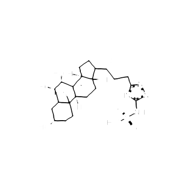 CC[C@@H]1C2C[C@H](O)CCC2(C)[C@H]2CCC3(C)C([C@H](C)CCc4nnc(NS(C)(=O)=O)[nH]4)CC[C@H]3[C@@H]2[C@@H]1O